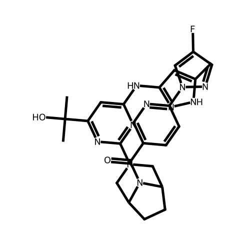 Cc1cc(Nc2cc(C(C)(C)O)nc(N3CC4CCC(C3)N4C(=O)c3ccc(-n4cc(F)cn4)nc3)n2)n[nH]1